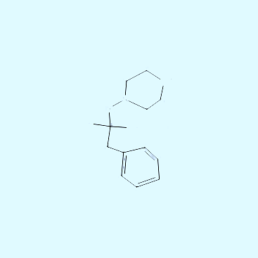 CCCCCCCCCCC(CCC)(Cc1ccccc1)NN1CCOCC1.Cl